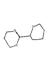 C1CS[C](C2CCSCS2)SC1